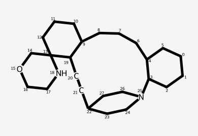 C1CCC2C(C1)CCCC1CCCC3(COCCN3)C1CCC1CCN2CC1